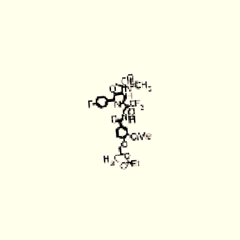 CCC(=O)OC(C)COc1ccc(C(=O)NCC(O)(c2cc3c(c(-c4ccc(F)cc4)n2)OCC3(C)N[S+](C)[O-])C(F)(F)F)cc1OC